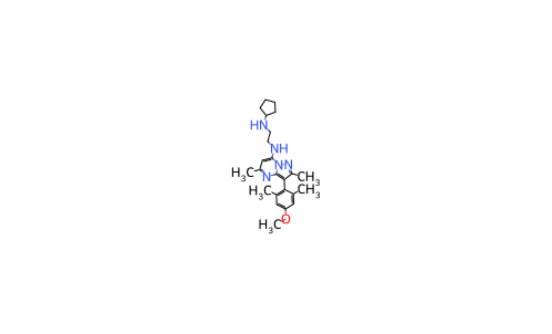 COc1cc(C)c(-c2c(C)nn3c(NCCNC4CCCC4)cc(C)nc23)c(C)c1